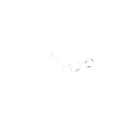 CCCCN1CCC(/N=c2/sc3ncccc3n2C)CC1.Cl.Cl.O